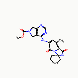 Cc1cc(Nc2ncnc3c2CN(C(=O)OC(C)(C)C)C3)c(=O)n2c1C(=O)NC21CCCCC1